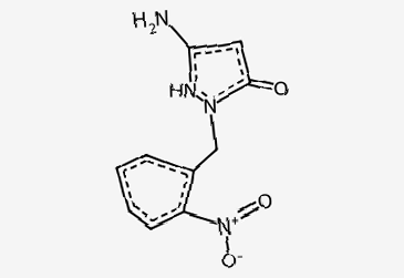 Nc1cc(=O)n(Cc2ccccc2[N+](=O)[O-])[nH]1